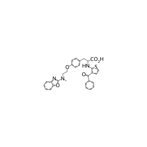 CN(CCOc1ccc(CC(Nc2sccc2C(=O)c2ccccc2)C(=O)O)cc1)c1nc2ccccc2o1